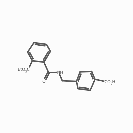 CCOC(=O)c1ccccc1C(=O)NCc1ccc(C(=O)O)cc1